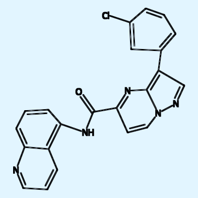 O=C(Nc1cccc2ncccc12)c1ccn2ncc(-c3cccc(Cl)c3)c2n1